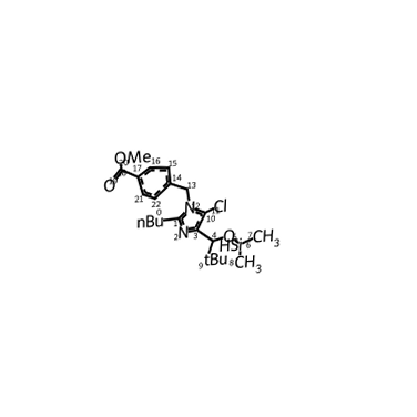 CCCCc1nc(C(O[SiH](C)C)C(C)(C)C)c(Cl)n1Cc1ccc(C(=O)OC)cc1